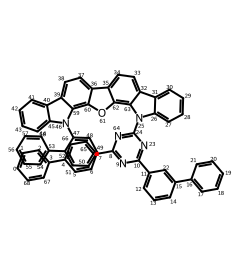 c1ccc(-c2ccc(-c3nc(-c4cccc(-c5ccccc5)c4)nc(-n4c5ccccc5c5ccc6c7ccc8c9ccccc9n(-c9ccccc9-c9ccccc9)c8c7oc6c54)n3)cc2)cc1